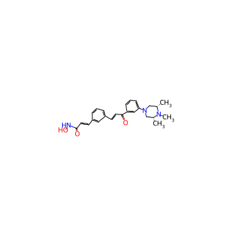 C[C@@H]1CN(c2cccc(C(=O)C=Cc3cccc(C=CC(=O)NO)c3)c2)C[C@H](C)N1C